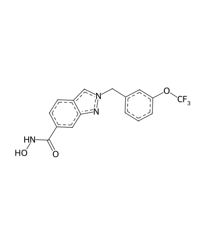 O=C(NO)c1ccc2cn(Cc3cccc(OC(F)(F)F)c3)nc2c1